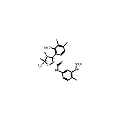 COc1c([C@H]2[C@H](C(=O)Nc3ccc(F)c(NS(=O)(=O)O)c3)O[C@@](C)(C(F)(F)F)[C@H]2C)ccc(F)c1F